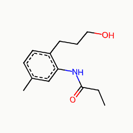 CCC(=O)Nc1cc(C)ccc1CCCO